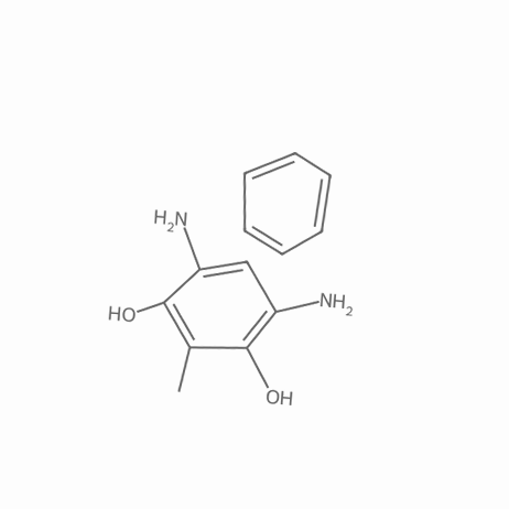 Cc1c(O)c(N)cc(N)c1O.c1ccccc1